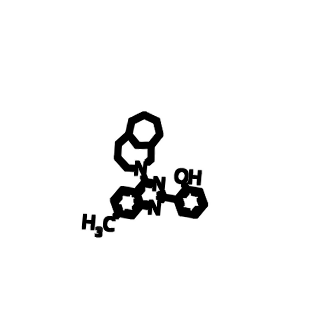 Cc1ccc2c(N3CCCC4CCCCC(C4)C3)nc(-c3ccccc3O)nc2c1